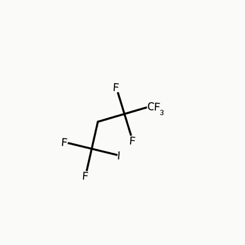 FC(F)(I)CC(F)(F)C(F)(F)F